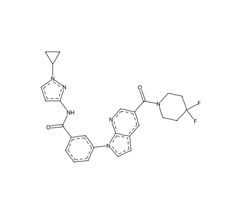 O=C(Nc1ccn(C2CC2)n1)c1cccc(-n2ccc3cc(C(=O)N4CCC(F)(F)CC4)cnc32)c1